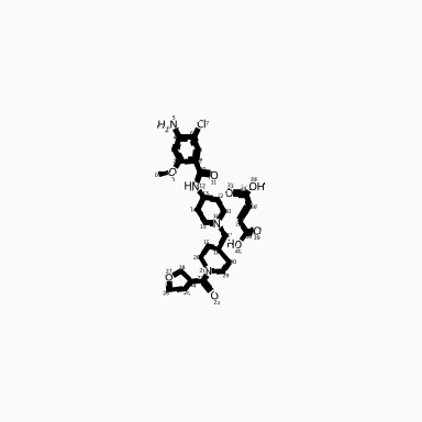 COc1cc(N)c(Cl)cc1C(=O)NC1CCN(CC2CCN(C(=O)C3CCOC3)CC2)CC1.O=C(O)/C=C/C(=O)O